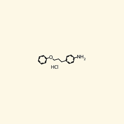 Cl.Nc1ccc(CCCOc2ccccc2)cc1